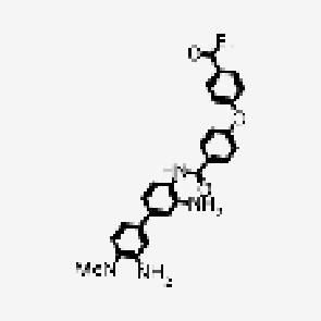 CCC(=O)c1ccc(Oc2ccc(C(=O)Nc3ccc(-c4ccc(NC)c(N)c4)cc3N)cc2)cc1